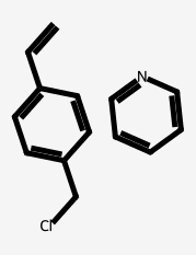 C=Cc1ccc(CCl)cc1.c1ccncc1